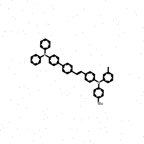 Cc1cccc(N(c2ccc(/C=C/c3ccc(-c4ccc(N(c5ccccc5)c5ccccc5)cc4)cc3)cc2)c2ccc(C(C)(C)C)cc2)c1